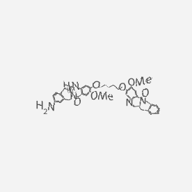 COc1cc2c(cc1OCCCCCOc1cc3c(cc1OC)C(=O)N1Cc4cc(N)ccc4C[C@H]1C=N3)N=CC1Cc3ccccc3CN1C2=O